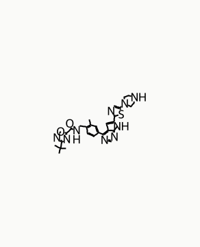 Cc1cc(-c2ncnc3[nH]c(-c4ncc(N5CCNCC5)s4)cc23)ccc1CNC(=O)c1nc(C(C)(C)C)no1